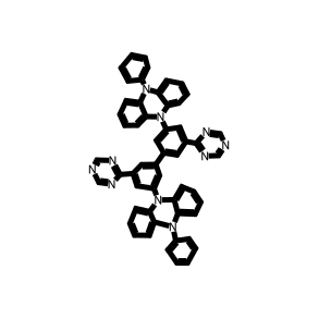 c1ccc(N2c3ccccc3N(c3cc(-c4cc(-c5ncncn5)cc(N5c6ccccc6N(c6ccccc6)c6ccccc65)c4)cc(-c4ncncn4)c3)c3ccccc32)cc1